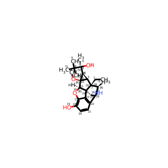 CC[C@]12C3[C@H]([C@](C)(O)C(C)(C)C)[C@@]3(OC)[C@@H]3Oc4c(O)ccc5c4[C@@]31CCN[C@@H]2C5